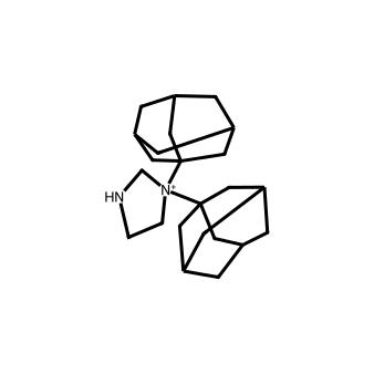 C1C[N+](C23CC4CC(CC(C4)C2)C3)(C23CC4CC(CC(C4)C2)C3)CN1